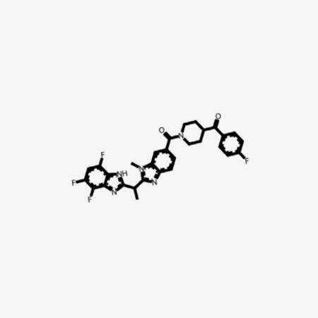 CC(c1nc2c(F)c(F)cc(F)c2[nH]1)c1nc2ccc(C(=O)N3CCC(C(=O)c4ccc(F)cc4)CC3)cc2n1C